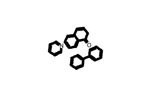 O=C1CC=Cc2ccccc21.c1ccc(-c2ccccc2)cc1.c1ccncc1